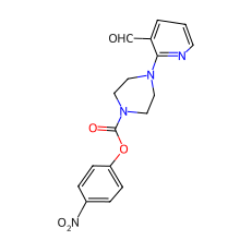 O=Cc1cccnc1N1CCN(C(=O)Oc2ccc([N+](=O)[O-])cc2)CC1